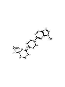 CCn1cnc2ccc(N3CCN(C4CC(O[C]=O)CCO4)CC3)cc21